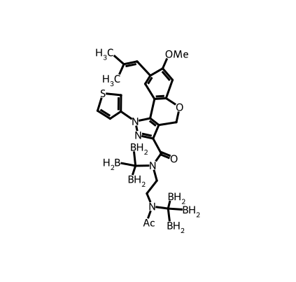 BC(B)(B)N(CCN(C(=O)c1nn(-c2ccsc2)c2c1COc1cc(OC)c(C=C(C)C)cc1-2)C(B)(B)B)C(C)=O